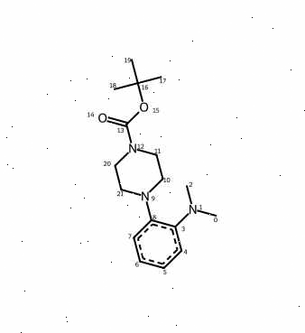 CN(C)c1ccccc1N1CCN(C(=O)OC(C)(C)C)CC1